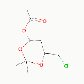 CC(=O)OC1CC(CCl)OC(C)(C)O1